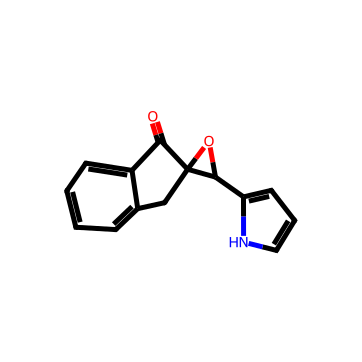 O=C1c2ccccc2CC12OC2c1ccc[nH]1